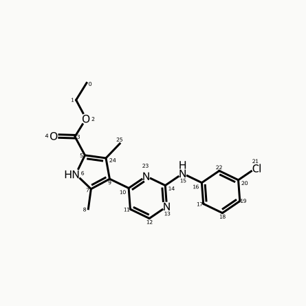 CCOC(=O)c1[nH]c(C)c(-c2ccnc(Nc3cccc(Cl)c3)n2)c1C